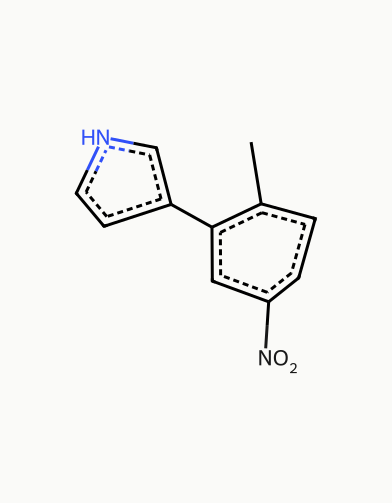 Cc1ccc([N+](=O)[O-])cc1-c1cc[nH]c1